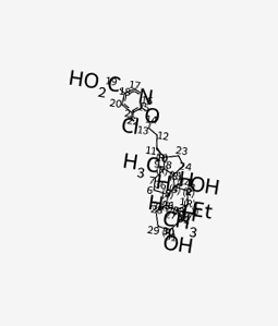 CC[C@H]1[C@@H](O)[C@@H]2[C@H](CC[C@]3(C)[C@@H](CCCOc4ncc(C(=O)O)cc4Cl)CC[C@@H]23)[C@@]2(C)CC[C@@H](O)C[C@@H]12